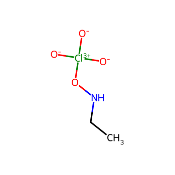 CCNO[Cl+3]([O-])([O-])[O-]